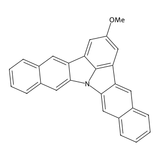 COc1cc2c3cc4ccccc4cc3n3c4cc5ccccc5cc4c(c1)c23